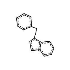 c1ccc(Cc2ccn3ccccc23)cc1